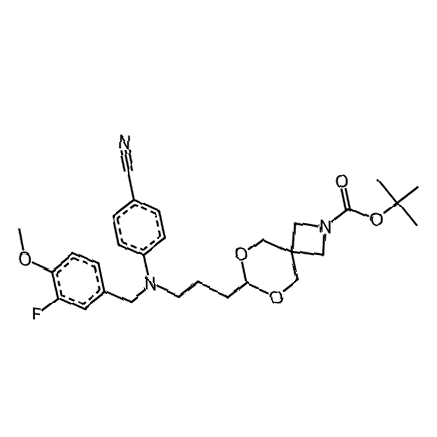 COc1ccc(CN(CCCC2OCC3(CO2)CN(C(=O)OC(C)(C)C)C3)c2ccc(C#N)cc2)cc1F